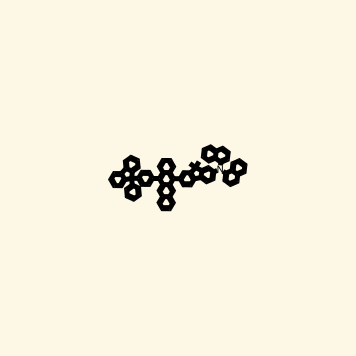 CC1(C)c2cc(-c3c4ccccc4c(-c4ccc(C5(c6ccccc6)c6ccccc6-c6ccccc65)cc4)c4cc5ccccc5cc34)ccc2-c2ccc(N(c3cccc4ccccc34)c3cccc4ccccc34)cc21